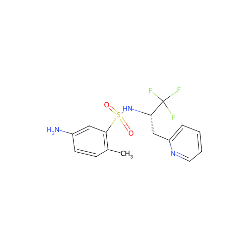 Cc1ccc(N)cc1S(=O)(=O)N[C@@H](Cc1ccccn1)C(F)(F)F